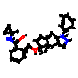 CC1(NC(=O)c2ccccc2CO[C@@]2(C)CCC3=Cc4c(cnn4-c4ccccc4)C[C@@]32C)CC1